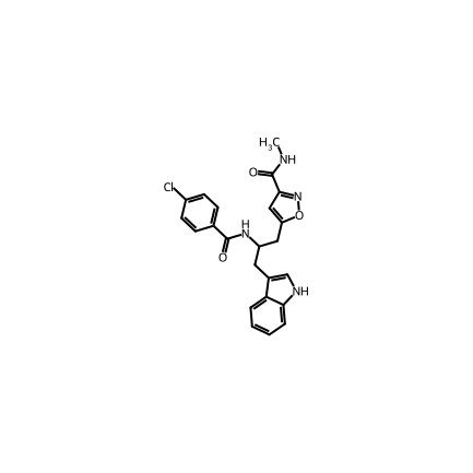 CNC(=O)c1cc(CC(Cc2c[nH]c3ccccc23)NC(=O)c2ccc(Cl)cc2)on1